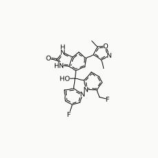 Cc1noc(C)c1-c1cc(C(O)(c2ccc(F)cn2)c2cccc(CF)n2)c2[nH]c(=O)[nH]c2c1